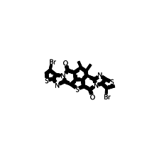 Cc1c(C)c2c3c(sc4c3c1c(=O)n1c4nc3scc(Br)c31)c(=O)n1c2nc2scc(Br)c21